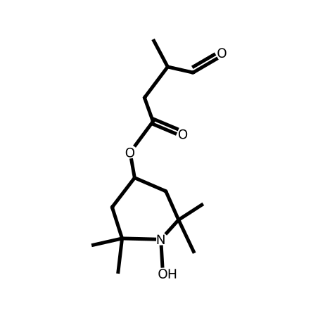 CC(C=O)CC(=O)OC1CC(C)(C)N(O)C(C)(C)C1